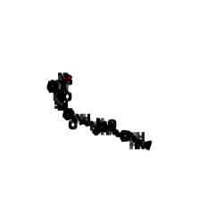 O=C(NCCCCn1ccc2cc(C(=O)NCCc3ccc(NCCNC4CC4)cc3)cnc21)c1ccc(-c2csc(N3N=C(c4ccccc4)/C(=N\Nc4nccs4)C3=O)n2)cc1